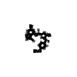 COc1ccc([C@@H](C)N2C[C@H]([C@@H](C)Oc3nc(Br)cc4ncn(C)c34)CC2=O)cc1